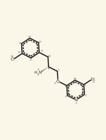 CCc1cncc(OC[C@H](N)Cc2cccc(Cl)c2)c1